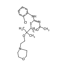 CC(=O)/N=C(/Nc1ccccc1Cl)SC(C)C(C)(C)OCCN1CCOCC1